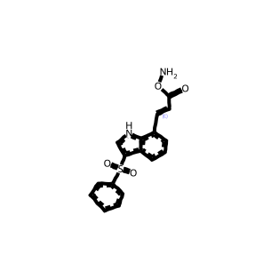 NOC(=O)/C=C/c1cccc2c(S(=O)(=O)c3ccccc3)c[nH]c12